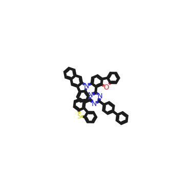 c1ccc(-c2ccc(-c3nc(-c4c(-n5c6ccccc6c6cc7ccccc7cc65)ccc5c4oc4ccccc45)nc(-c4cccc5sc6ccccc6c45)n3)cc2)cc1